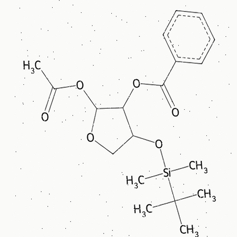 CC(=O)OC1OCC(O[Si](C)(C)C(C)(C)C)C1OC(=O)c1ccccc1